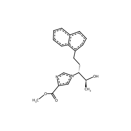 COC(=O)c1cn([C@H](CCc2cccc3ccccc23)[C@H](C)O)cn1